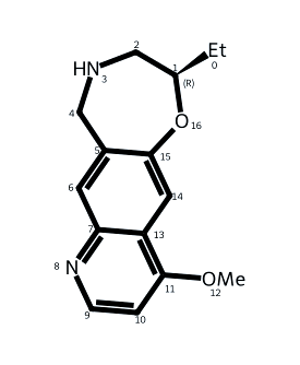 CC[C@@H]1CNCc2cc3nccc(OC)c3cc2O1